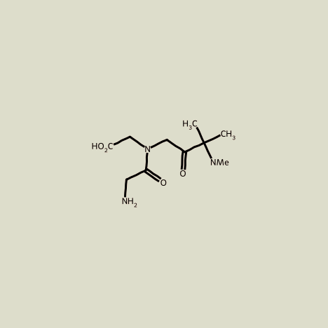 CNC(C)(C)C(=O)CN(CC(=O)O)C(=O)CN